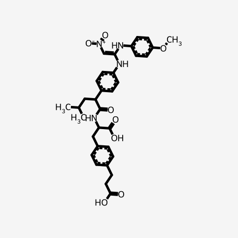 COc1ccc(NC(=C[N+](=O)[O-])Nc2ccc(C(CC(C)C)C(=O)NC(Cc3ccc(CCC(=O)O)cc3)C(=O)O)cc2)cc1